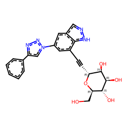 OC[C@H]1O[C@H](C#Cc2cc(-n3cc(-c4ccccc4)nn3)cc3cn[nH]c23)[C@@H](O)[C@@H](O)[C@@H]1O